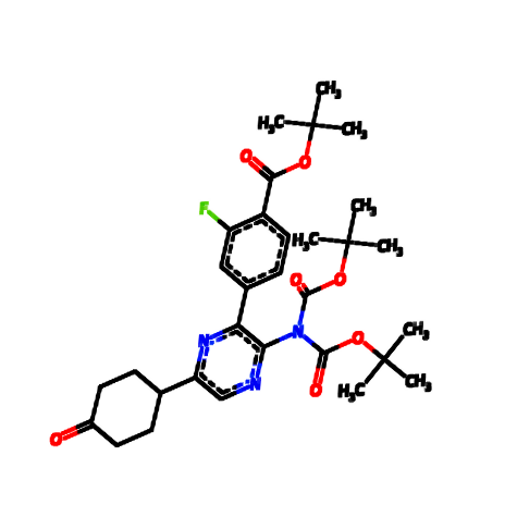 CC(C)(C)OC(=O)c1ccc(-c2nc(C3CCC(=O)CC3)cnc2N(C(=O)OC(C)(C)C)C(=O)OC(C)(C)C)cc1F